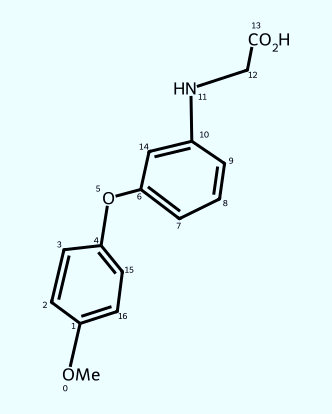 COc1ccc(Oc2cccc(NCC(=O)O)c2)cc1